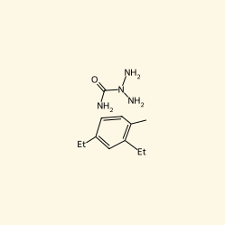 CCc1ccc(C)c(CC)c1.NC(=O)N(N)N